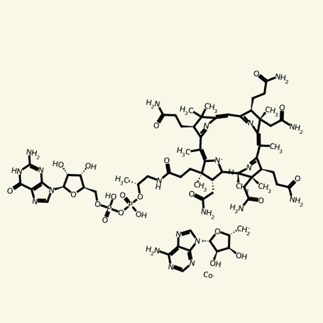 C/C1=C2/[N-][C@H]([C@H](CC(N)=O)[C@@]2(C)CCC(=O)NC[C@@H](C)OP(=O)(O)OP(=O)(O)OC[C@H]2O[C@@H](n3cnc4c(=O)[nH]c(N)nc43)[C@H](O)[C@@H]2O)[C@]2(C)N=C(/C(C)=C3N=C(/C=C4N=C1[C@@H](CCC(N)=O)C\4(C)C)[C@@H](CCC(N)=O)[C@]\3(C)CC(N)=O)[C@@H](CCC(N)=O)[C@]2(C)CC(N)=O.[CH2-][C@H]1O[C@@H](n2cnc3c(N)ncnc32)[C@H](O)[C@@H]1O.[Co]